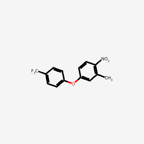 Cc1cc(Oc2ccc(C(F)(F)F)cc2)ccc1[N+](=O)[O-]